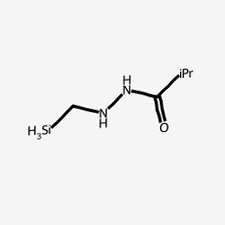 CC(C)C(=O)NNC[SiH3]